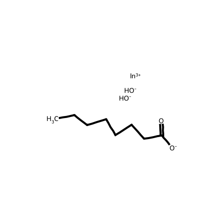 CCCCCCCC(=O)[O-].[In+3].[OH-].[OH-]